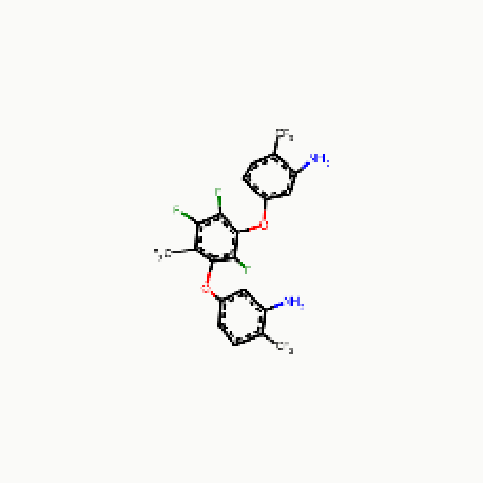 Nc1cc(Oc2c(F)c(F)c(C(F)(F)F)c(Oc3ccc(C(F)(F)F)c(N)c3)c2F)ccc1C(F)(F)F